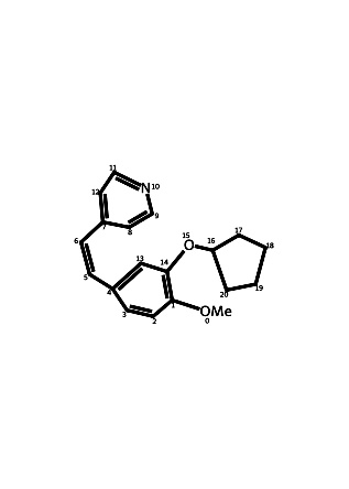 COc1ccc(/C=C\c2ccncc2)cc1OC1CCCC1